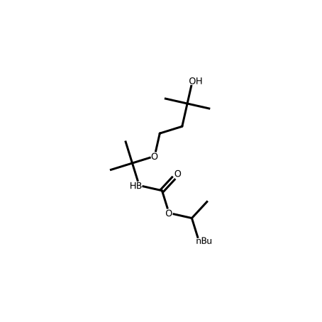 CCCCC(C)OC(=O)BC(C)(C)OCCC(C)(C)O